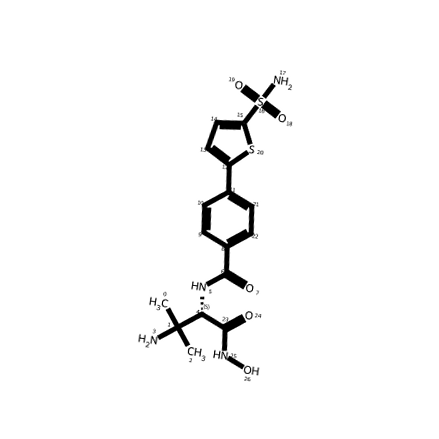 CC(C)(N)[C@H](NC(=O)c1ccc(-c2ccc(S(N)(=O)=O)s2)cc1)C(=O)NO